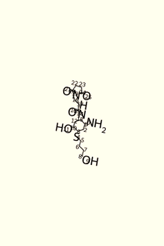 NC1CC(SCCCCO)C(O)CC1NC(=O)CCN1C(=O)CCC1=O